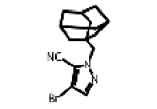 N#Cc1c(Br)cnn1CC12CC3CC(CC(C3)C1)C2